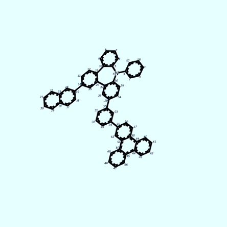 c1ccc(N2c3ccccc3-c3ccc(-c4ccc5ccccc5c4)cc3-c3cc(-c4cccc(-c5ccc6c7ccccc7c7ccccc7c6c5)c4)ccc32)cc1